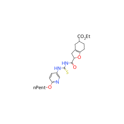 CCCCCOc1ccc(NC(=S)NC(=O)C2CC3=C(CCC(C(=O)OCC)C3)O2)cn1